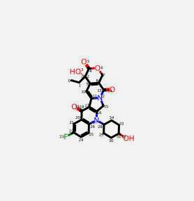 CC[C@@]1(O)C(=O)OCc2c1cc1n(c2=O)Cc2c-1c(=O)c1cc(F)ccc1n2C1CCC(O)CC1